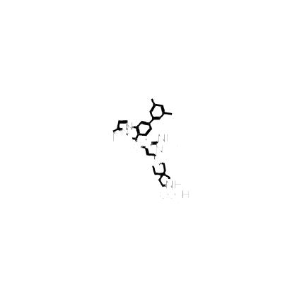 Cc1cc(C)cc(-c2ccc(C(Oc3cc(N4CCC5(CC4)CN[C@H](C(=O)O)C5)nc(N)n3)C(F)(F)F)c(-n3ccc(C)n3)c2)c1